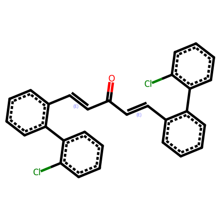 O=C(/C=C/c1ccccc1-c1ccccc1Cl)/C=C/c1ccccc1-c1ccccc1Cl